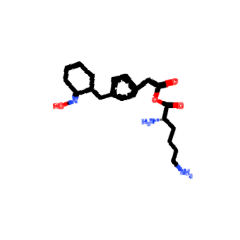 NCCCC[C@H](N)C(=O)OC(=O)Cc1ccc(CC2CCCCC2=NO)cc1